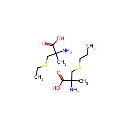 CCCSCC(C)(N)C(=O)O.CCSCC(C)(N)C(=O)O